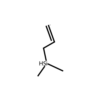 [CH]=CC[SiH](C)C